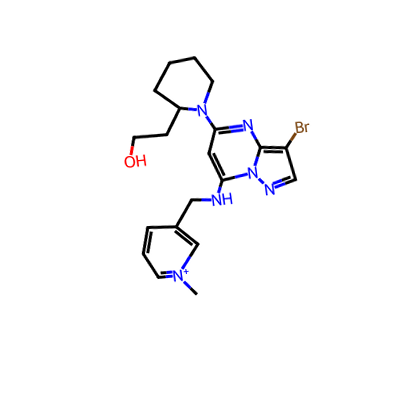 C[n+]1cccc(CNc2cc(N3CCCCC3CCO)nc3c(Br)cnn23)c1